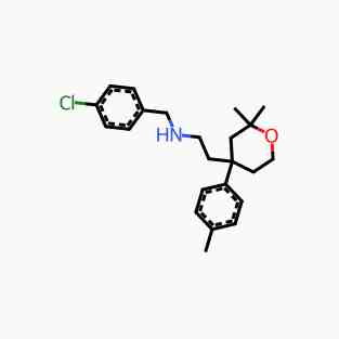 Cc1ccc(C2(CCNCc3ccc(Cl)cc3)CCOC(C)(C)C2)cc1